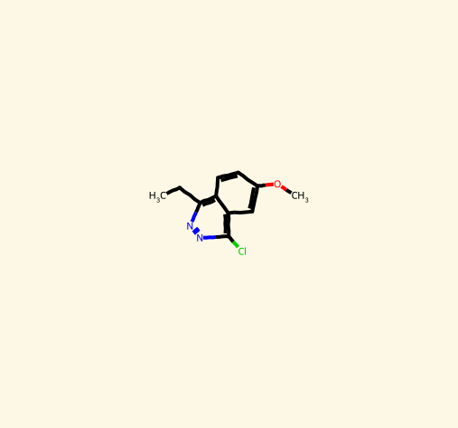 CCc1nnc(Cl)c2cc(OC)ccc12